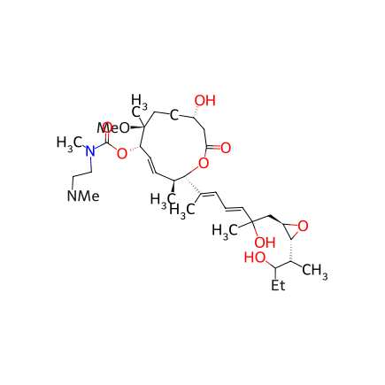 CCC(O)C(C)[C@H]1O[C@@H]1CC(C)(O)/C=C/C=C(\C)[C@H]1OC(=O)C[C@@H](O)CC[C@](C)(OC)[C@@H](OC(=O)N(C)CCNC)/C=C/[C@@H]1C